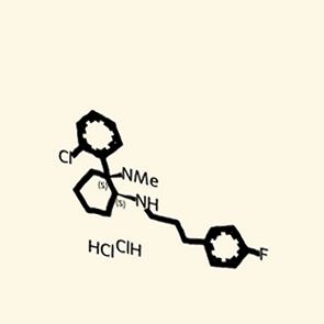 CN[C@]1(c2ccccc2Cl)CCCC[C@@H]1NCCCc1ccc(F)cc1.Cl.Cl